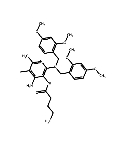 CCCCC(=O)Nc1c(N(Cc2ccc(OC)cc2OC)Cc2ccc(OC)cc2OC)nc(C)c(I)c1N